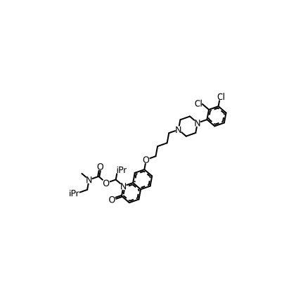 CC(C)CN(C)C(=O)OC(C(C)C)n1c(=O)ccc2ccc(OCCCCN3CCN(c4cccc(Cl)c4Cl)CC3)cc21